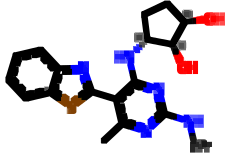 CCCNc1nc(C)c(-c2nc3ccccc3s2)c(N[C@@H]2CC[C@@H](O)[C@H]2O)n1